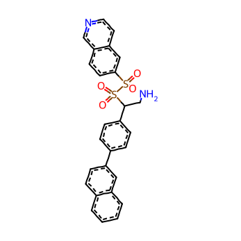 NCC(c1ccc(-c2ccc3ccccc3c2)cc1)S(=O)(=O)S(=O)(=O)c1ccc2cnccc2c1